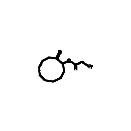 CC(C)CNOC1CCCCCCCCC1=O